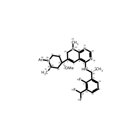 CO[C@@]1(C2=Cc3c(N[C@H](C)c4cccc(C(F)F)c4F)ncnc3N(C)C2)CCN(C(C)=O)[C@H](C)C1